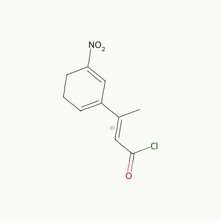 C/C(=C\C(=O)Cl)C1=CCCC([N+](=O)[O-])=C1